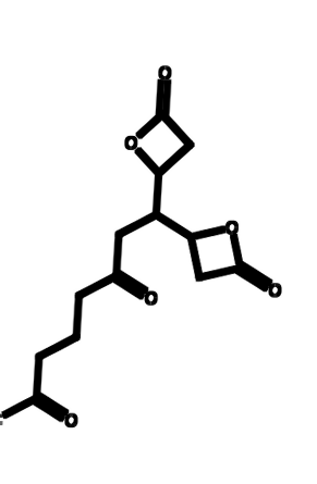 CCC(=O)CCCC(=O)CC(C1CC(=O)O1)C1CC(=O)O1